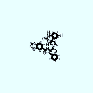 O=C1Nc2ccc(Cl)cc2C2(CCN(C(=O)[C@H](Cc3ccccc3)NC(=O)c3ccc4c(c3)SN=CN4)C2)O1